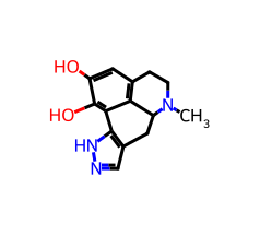 CN1CCc2cc(O)c(O)c3c2C1Cc1cn[nH]c1-3